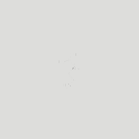 Br.NC=CCB(O)O